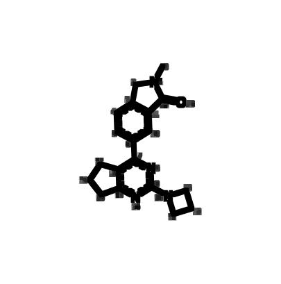 CN1Cc2ccc(-c3nc(N4CCC4)nc4c3CCC4)cc2C1=O